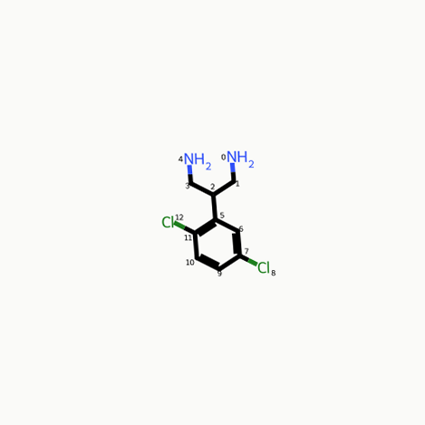 NCC(CN)c1cc(Cl)ccc1Cl